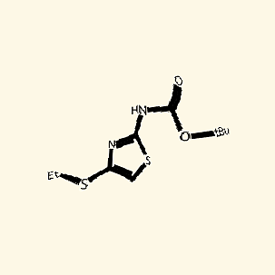 CCSc1csc(NC(=O)OC(C)(C)C)n1